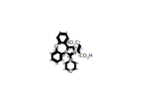 O=C(O)/C=C/C(=O)O.c1ccc2c(c1)Oc1ccccc1N1C(N3CCOCC3)=NCC21